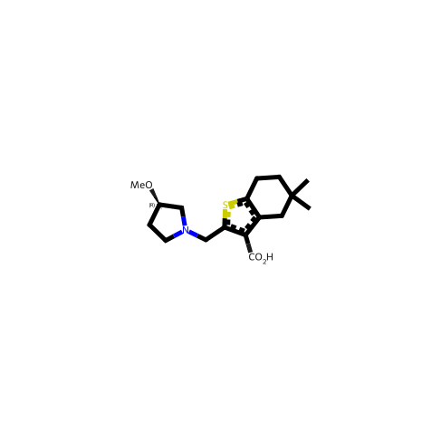 CO[C@@H]1CCN(Cc2sc3c(c2C(=O)O)CC(C)(C)CC3)C1